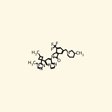 CC1CC(c2cc(N3Cc4c(cc(CN5CCC[C@H](C)C5)cc4C(F)(F)F)C3=O)c3nccn3c2)(c2nncn2C)C1